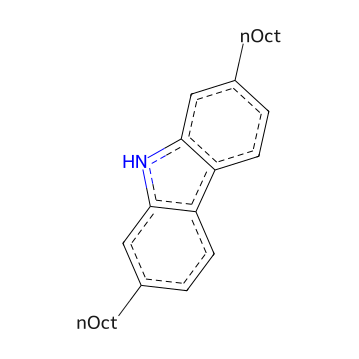 CCCCCCCCc1ccc2c(c1)[nH]c1cc(CCCCCCCC)ccc12